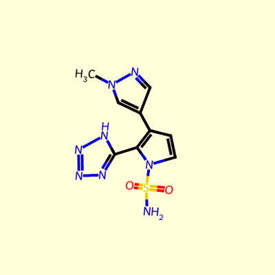 Cn1cc(-c2ccn(S(N)(=O)=O)c2-c2nnn[nH]2)cn1